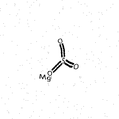 O=S(=O)=O.[Mg]